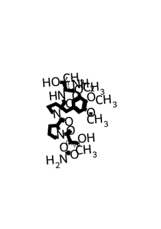 COc1cc(CC2(C(=O)N[C@H](C(N)=O)[C@@H](C)O)CCCN2C(=O)C2CCCN2C(=O)[C@@H](OC(N)=O)[C@@H](C)O)cc(OC)c1OC